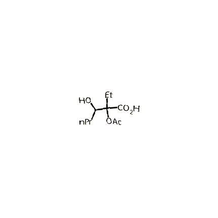 CCCC(O)C(CC)(OC(C)=O)C(=O)O